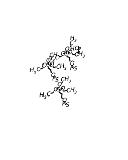 CCO[Si](CCCOP=S)(OCC)OCC.CCO[Si](CCCOP=S)(OCC)OCC.CCO[Si](CCCOP=S)(OCC)OCC.OP=S